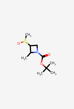 CC1C([S+](C)[O-])CN1C(=O)OC(C)(C)C